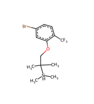 C[SiH](C)C(C)(C)COc1cc(Br)ccc1C(F)(F)F